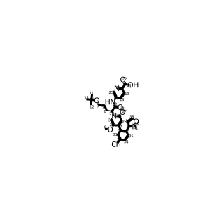 COc1cn([C@@H](CCCOC(C)(C)C)C(=O)Nc2ccc(C(=O)O)nc2)c(=O)cc1-c1cc(Cl)ccc1-c1ccon1